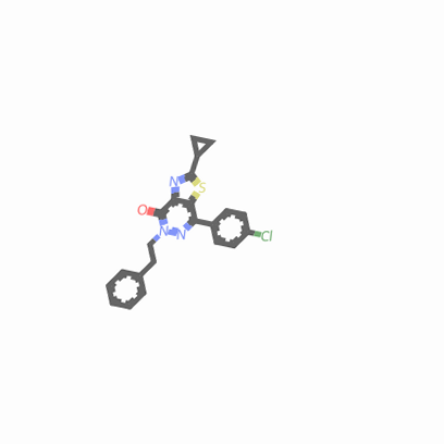 O=c1c2nc(C3CC3)sc2c(-c2ccc(Cl)cc2)nn1CCc1ccccc1